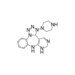 C1=NCNC2=C1C1N(N=NN1N1CCNCC1)c1ccccc1N2